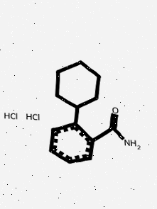 Cl.Cl.NC(=O)c1ccccc1C1CCCCC1